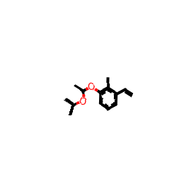 C=Cc1cccc(OC(C)OC(C)C)c1C